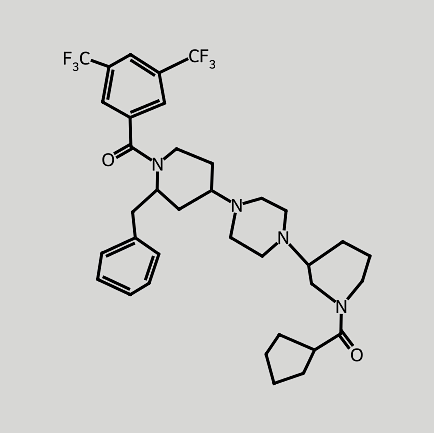 O=C(C1CCCC1)N1CCCC(N2CCN(C3CCN(C(=O)c4cc(C(F)(F)F)cc(C(F)(F)F)c4)C(Cc4ccccc4)C3)CC2)C1